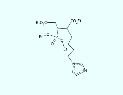 CCOC(=O)CC(C(CCCCn1ccnc1)C(=O)OCC)P(=O)(OCC)OCC